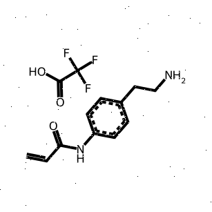 C=CC(=O)Nc1ccc(CCN)cc1.O=C(O)C(F)(F)F